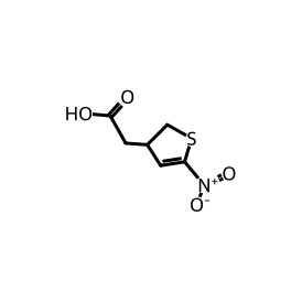 O=C(O)CC1C=C([N+](=O)[O-])SC1